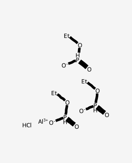 CCO[PH](=O)[O-].CCO[PH](=O)[O-].CCO[PH](=O)[O-].Cl.[Al+3]